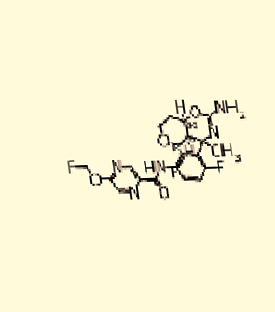 C[C@]1(c2cc(NC(=O)c3cnc(OCF)cn3)ccc2F)N=C(N)O[C@@H]2CCO[C@@H](CF)[C@@H]21